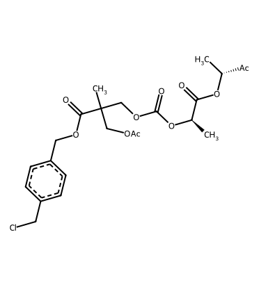 CC(=O)OCC(C)(COC(=O)O[C@H](C)C(=O)O[C@H](C)C(C)=O)C(=O)OCc1ccc(CCl)cc1